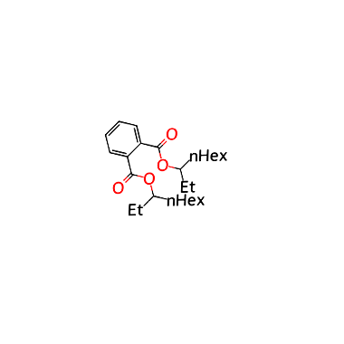 CCCCCCC(CC)OC(=O)c1ccccc1C(=O)OC(CC)CCCCCC